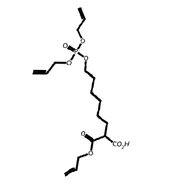 C=CCOC(=O)C(CCCCCCOP(=O)(OCC=C)OCC=C)C(=O)O